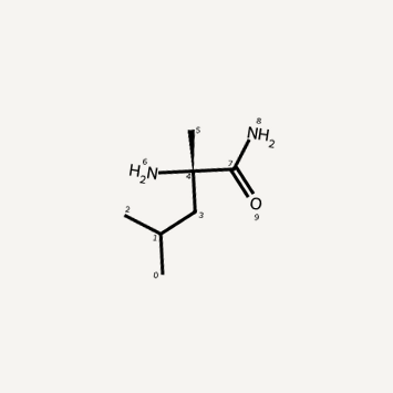 CC(C)C[C@](C)(N)C(N)=O